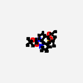 CCOC(=O)C1CCN(C(=O)OC(C)(C)C)C1c1ncccc1SC(C)C